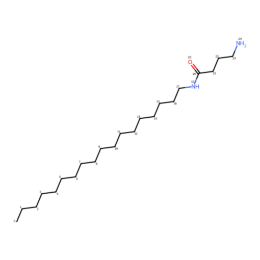 CCCCCCCCCCCCCCCCCCNC(=O)CCCN